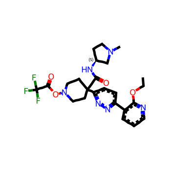 CCOc1ncccc1-c1ccc(C2(C(=O)N[C@H]3CCN(C)C3)CCN(OC(=O)C(F)(F)F)CC2)nn1